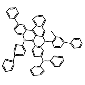 Cc1cc(-c2ccccc2)ccc1N1c2cc(N(c3ccccc3)c3ccccc3)ccc2B2c3c1cc1ccccc1c3-c1cc(-c3ccccc3)ccc1N2c1ccc(-c2ccccc2)cc1